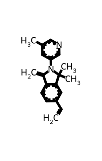 C=Cc1ccc2c(c1)C(C)(C)N(c1cncc(C)c1)C2=C